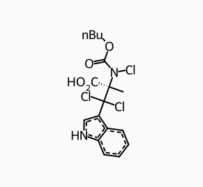 CCCCOC(=O)N(Cl)[C@](C)(C(=O)O)C(Cl)(Cl)c1c[nH]c2ccccc12